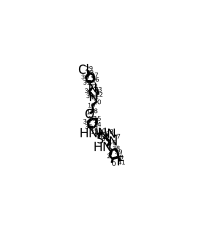 Cc1cc(Nc2ncnc3nc(Nc4ccc(OCCCN5CCN(c6ccc(Cl)cc6)CC5)cc4)sc23)ccc1F